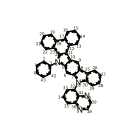 c1ccc(-n2c3cc4c(cc3c3c5ccccc5c5ccccc5c32)c2ccccc2n4-c2cccc3nccnc23)cc1